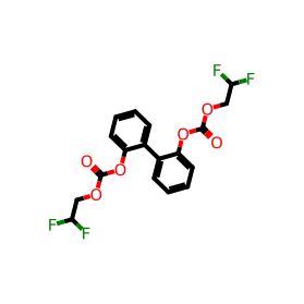 O=C(OCC(F)F)Oc1ccccc1-c1ccccc1OC(=O)OCC(F)F